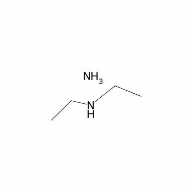 CCNCC.N